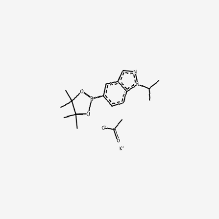 CC(=O)[O-].CC(C)n1ncc2cc(B3OC(C)(C)C(C)(C)O3)ccc21.[K+]